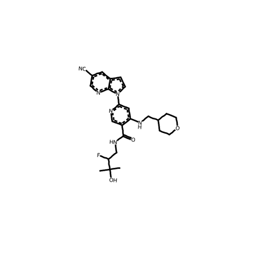 CC(C)(O)C(F)CNC(=O)c1cnc(-n2ccc3cc(C#N)cnc32)cc1NCC1CCOCC1